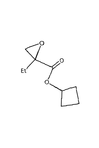 CCC1(C(=O)OC2CCC2)CO1